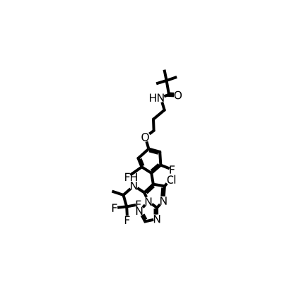 CC(Nc1c(-c2c(F)cc(OCCCNC(=O)C(C)(C)C)cc2F)c(Cl)nc2ncnn12)C(F)(F)F